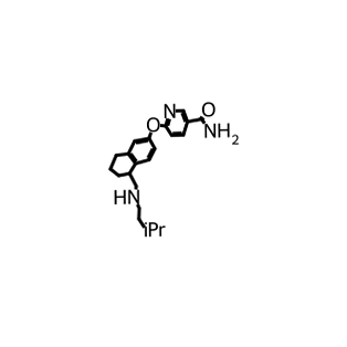 CC(C)CCNCC1CCCc2cc(Oc3ccc(C(N)=O)cn3)ccc21